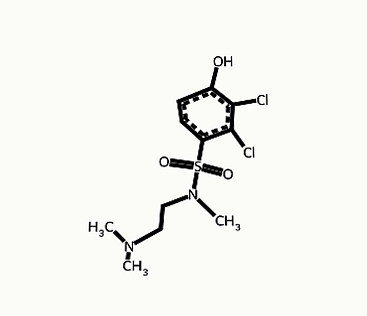 CN(C)CCN(C)S(=O)(=O)c1ccc(O)c(Cl)c1Cl